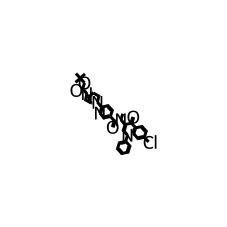 CN(C(=O)c1ccc(N2CC3CC2CN3C(=O)OC(C)(C)C)nc1)c1cn(-c2ccccc2)c2cc(Cl)ccc2c1=O